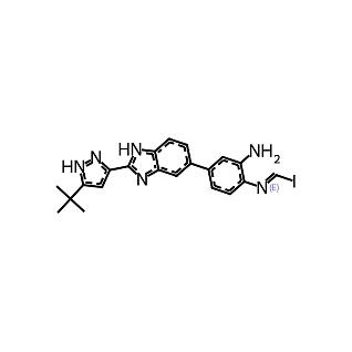 CC(C)(C)c1cc(-c2nc3cc(-c4ccc(/N=C/I)c(N)c4)ccc3[nH]2)n[nH]1